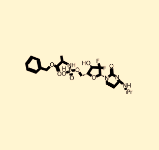 CC(C)Nc1ccn([C@@H]2O[C@H](COP(=O)(O)NC(C)C(=O)OCc3ccccc3)[C@@H](O)C2(F)F)c(=O)n1